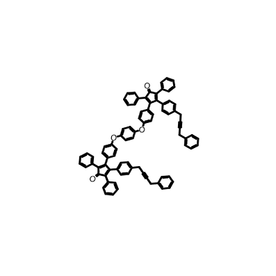 O=C1C(c2ccccc2)=C(c2ccc(CC#CCc3ccccc3)cc2)C(c2ccc(Oc3ccc(Oc4ccc(C5=C(c6ccccc6)C(=O)C(c6ccccc6)=C5c5ccc(CC#CCc6ccccc6)cc5)cc4)cc3)cc2)=C1c1ccccc1